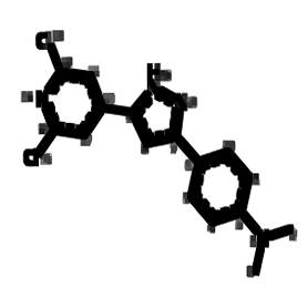 CN(C)c1ccc(-c2cc(-c3cc(Cl)nc(Cl)c3)[nH]n2)cc1